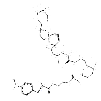 CCC(C(=O)NCCNC(=O)/C(C#N)=C/c1ccc(N(C)C)cc1)[C@H]1CC[C@H](C)[C@H]([C@@H](C)[C@H](O)[C@H](C)C(=O)[C@H](CC)[C@H]2O[C@]3(C=C[C@@H](OC(C)=O)[C@]4(CC[C@@](C)([C@H]5CC[C@](O)(CC)[C@H](C)O5)O4)O3)[C@H](C)C[C@@H]2C)O1